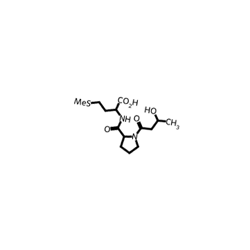 CSCCC(NC(=O)C1CCCN1C(=O)CC(C)O)C(=O)O